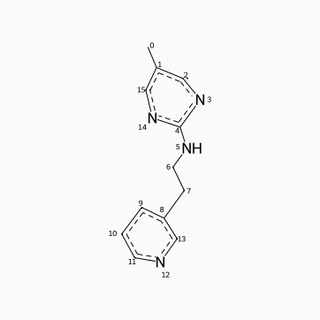 Cc1[c]nc(NCCc2cccnc2)nc1